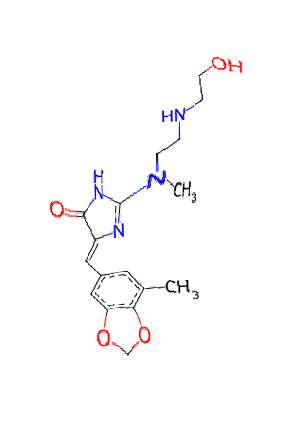 Cc1cc(/C=C2\N=C(N(C)CCNCCO)NC2=O)cc2c1OCO2